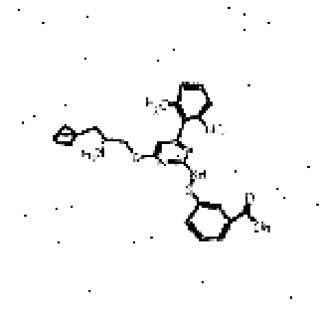 Cc1cccc(C)c1-c1cc(OC[C@H](N)CC23CC(C2)C3)nc(NSc2cccc(C(=O)O)c2)n1